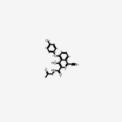 CC(=O)CNC(=O)c1nc(C#N)c2cccc(Oc3ccc(Cl)cc3)c2c1O